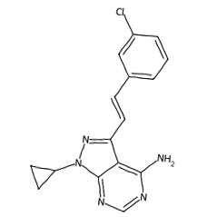 Nc1ncnc2c1c(/C=C/c1cccc(Cl)c1)nn2C1CC1